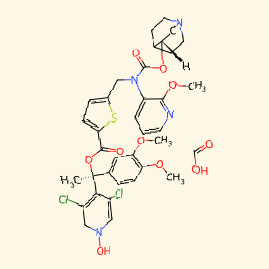 COc1ccc([C@](C)(OC(=O)c2ccc(CN(C(=O)O[C@H]3CN4CCC3CC4)c3cccnc3OC)s2)C2=C(Cl)CN(O)C=C2Cl)cc1OC.O=CO